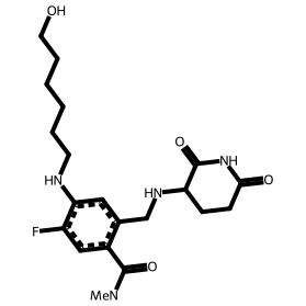 CNC(=O)c1cc(F)c(NCCCCCCO)cc1CNC1CCC(=O)NC1=O